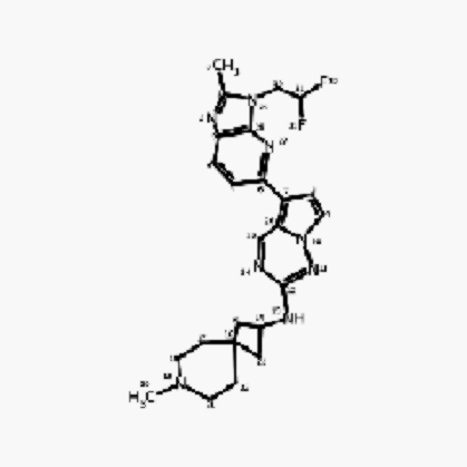 Cc1nc2ccc(-c3ccn4nc(NC5CC6(CCN(C)CC6)C5)ncc34)nc2n1CC(F)F